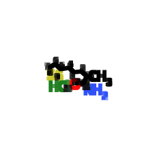 CC(CCCC1CCSS1)C(N)=O.Cl